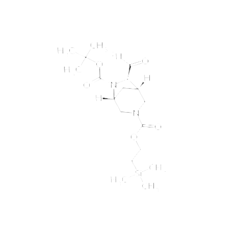 [2H]C(=O)[C@H]1[C@H]2C[C@H](CN(C(=O)OCC[Si](C)(C)C)C2)N1C(=O)OC(C)(C)C